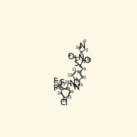 CN1CC(N2C(=O)S/C(=C\c3ccc4c(cnn4Cc4ccc(Cl)cc4C(F)(F)F)c3)C2=O)C1